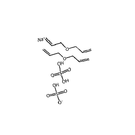 C=CCOCC=C.C=CCOCC=C.O=S(=O)(O)O.O=S(=O)([O-])O.[Na+]